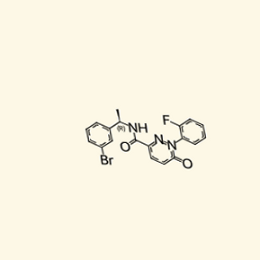 C[C@@H](NC(=O)c1ccc(=O)n(-c2ccccc2F)n1)c1cccc(Br)c1